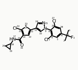 CC(C)(F)c1cc(Cl)c(-n2cc(-c3cc(C(=O)NC4CC4)c(Cl)s3)cn2)c(Cl)c1